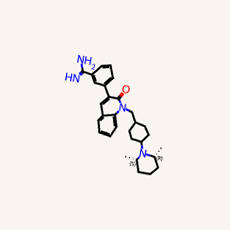 C[C@@H]1CCC[C@H](C)N1C1CCC(Cn2c(=O)c(-c3cccc(C(=N)N)c3)cc3ccccc32)CC1